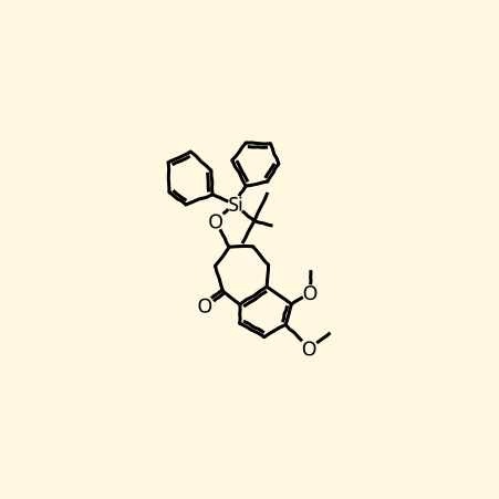 COc1ccc2c(c1OC)CCC(O[Si](c1ccccc1)(c1ccccc1)C(C)(C)C)CC2=O